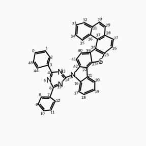 c1ccc(-c2nc(-c3ccccc3)nc(-n3c4ccccc4c4c5sc6ccc7ccc8ccccc8c7c6c5ccc43)n2)cc1